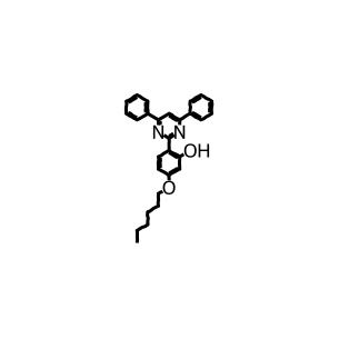 CCCCCCOc1ccc(-c2nc(-c3ccccc3)cc(-c3ccccc3)n2)c(O)c1